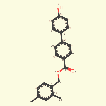 Cc1ccc(COC(=O)c2ccc(-c3ccc(O)cc3)cc2)c(C)c1